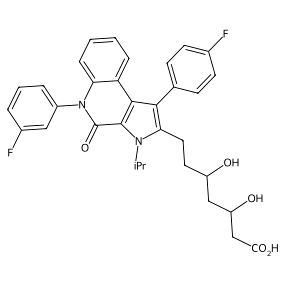 CC(C)n1c(CCC(O)CC(O)CC(=O)O)c(-c2ccc(F)cc2)c2c3ccccc3n(-c3cccc(F)c3)c(=O)c21